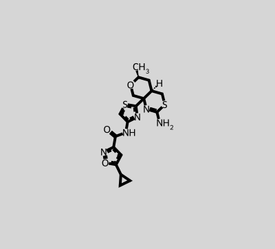 C[C@H]1C[C@H]2CSC(N)=NC2(c2nc(NC(=O)c3cc(C4CC4)on3)cs2)CO1